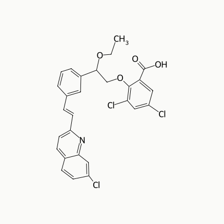 CCOC(COc1c(Cl)cc(Cl)cc1C(=O)O)c1cccc(/C=C/c2ccc3ccc(Cl)cc3n2)c1